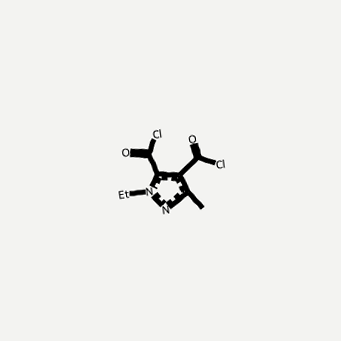 CCn1nc(C)c(C(=O)Cl)c1C(=O)Cl